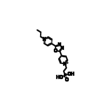 CCC[n+]1ccc(-c2nnc(-c3cc[n+](CCP(=O)(O)O)cc3)o2)cc1